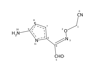 N#CCO/N=C(/[C]=O)c1csc(N)n1